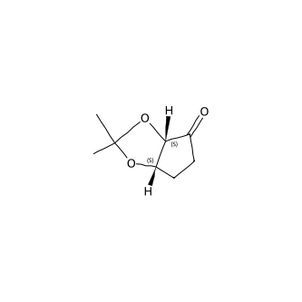 CC1(C)O[C@H]2CCC(=O)[C@H]2O1